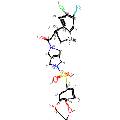 CNC[C@@](C)(C(=O)N1CC2=C(C1)CN(S(=O)(=O)c1ccc3c(c1)OCCO3)C2)c1ccc(F)c(Cl)c1